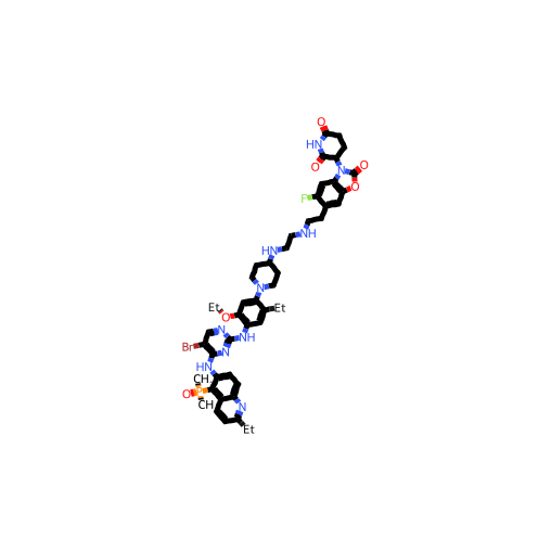 CCOc1cc(N2CCC(NCCNCCc3cc4oc(=O)n(C5CCC(=O)NC5=O)c4cc3F)CC2)c(CC)cc1Nc1ncc(Br)c(Nc2ccc3nc(CC)ccc3c2P(C)(C)=O)n1